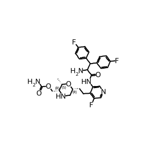 C[C@@H]1O[C@H](CCc2c(F)cncc2NC(=O)C(N)C(c2ccc(F)cc2)c2ccc(F)cc2)CN[C@@H]1COC(N)=O